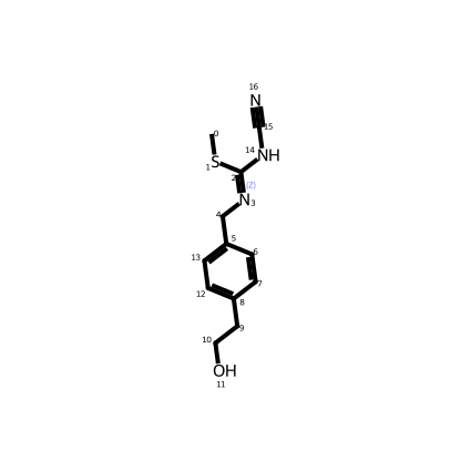 CS/C(=N\Cc1ccc(CCO)cc1)NC#N